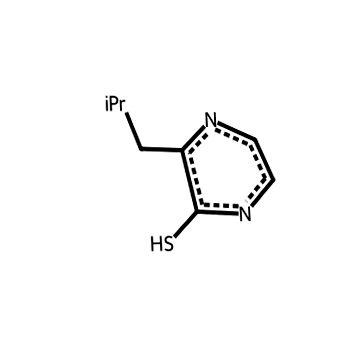 CC(C)Cc1nccnc1S